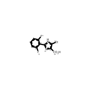 CCc1[nH]c(-c2c(F)cccc2F)nc1C(=O)O